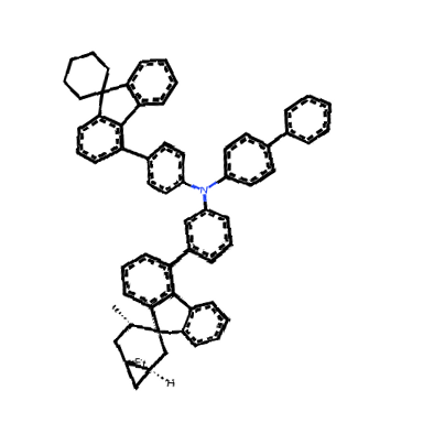 CCC12C[C@@H]1C[C@@]1(c3ccccc3-c3c(-c4cccc(N(c5ccc(-c6ccccc6)cc5)c5ccc(-c6cccc7c6-c6ccccc6C76CCCCC6)cc5)c4)cccc31)[C@@H](C)C2